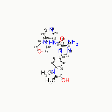 C[C@H](CO)N(C)c1ccc(-c2cnc(N)c(C(=O)Nc3cnccc3N3CCOCC3)n2)cc1